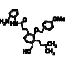 COc1ccc(COc2c(/C=C/C(=O)Nc3ccccc3N)ccc(CO)c2CC=C(C)C)cc1